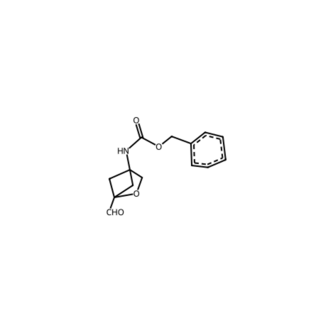 O=CC12CC(NC(=O)OCc3ccccc3)(CO1)C2